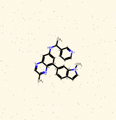 Cc1cnc2cc(NC(C)c3cccnc3)cc(-c3ccc4ccn(C)c4c3)c2n1